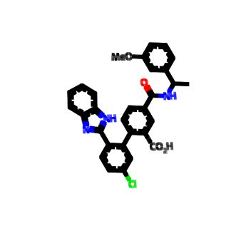 COc1cccc(C(C)NC(=O)c2ccc(-c3cc(Cl)ccc3-c3nc4ccccc4[nH]3)c(C(=O)O)c2)c1